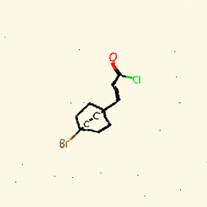 O=C(Cl)/C=C/C12CCC(Br)(CC1)CC2